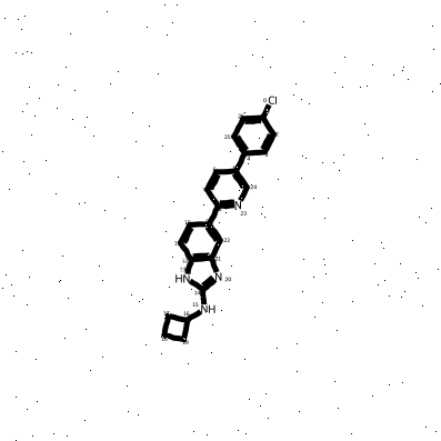 Clc1ccc(-c2ccc(-c3ccc4[nH]c(NC5CCC5)nc4c3)nc2)cc1